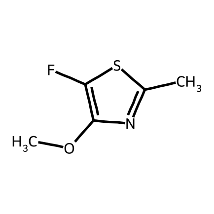 COc1nc(C)sc1F